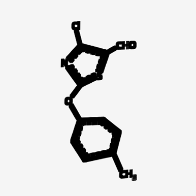 Cc1ccc(Oc2nc(Cl)c(C=O)s2)cc1